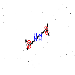 CCO[Si](C)(CCCNCCNCCC[Si](C)(OCC)OCC)OCC